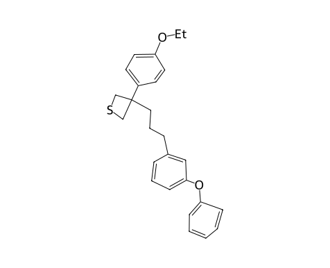 CCOc1ccc(C2(CCCc3cccc(Oc4ccccc4)c3)CSC2)cc1